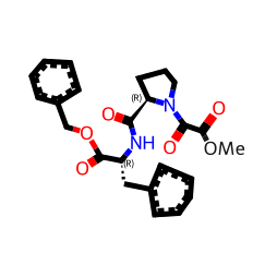 COC(=O)C(=O)N1CCC[C@@H]1C(=O)N[C@H](Cc1ccccc1)C(=O)OCc1ccccc1